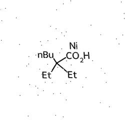 CCCCC(CC)(CC)C(=O)O.[Ni]